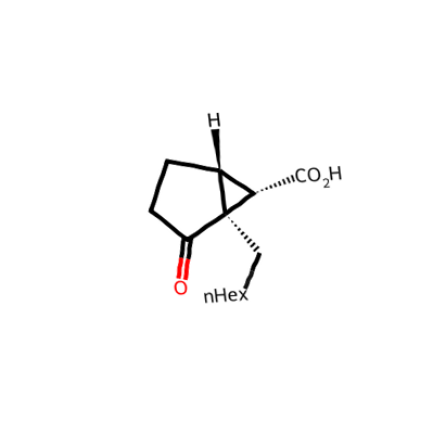 CCCCCCC[C@]12C(=O)CC[C@@H]1[C@@H]2C(=O)O